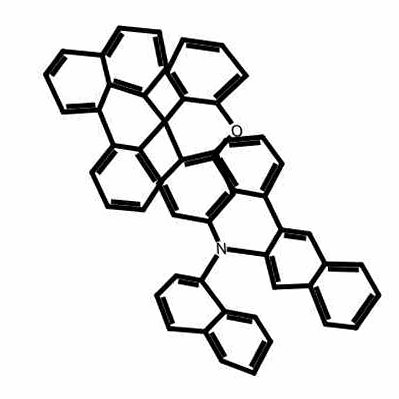 c1ccc(-c2cc3ccccc3cc2N(c2ccc3c(c2)Oc2ccccc2C32c3ccccc3-c3cccc4cccc2c34)c2cccc3ccccc23)cc1